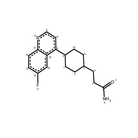 NC(=O)CCC1CCC(c2ccnc3ccc(F)cc23)CC1